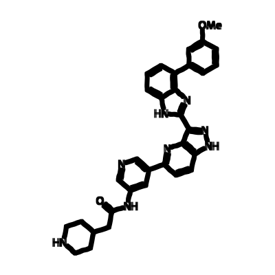 COc1cccc(-c2cccc3[nH]c(-c4n[nH]c5ccc(-c6cncc(NC(=O)CC7CCNCC7)c6)nc45)nc23)c1